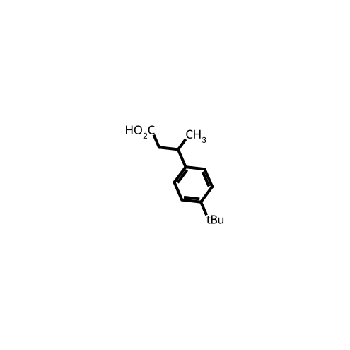 CC(CC(=O)O)c1ccc(C(C)(C)C)cc1